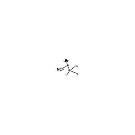 CC(C)(C)C(Br)C#N